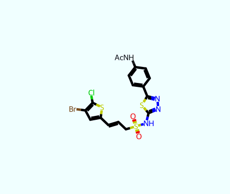 CC(=O)Nc1ccc(-c2nnc(NS(=O)(=O)CC=Cc3cc(Br)c(Cl)s3)s2)cc1